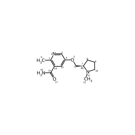 Cc1ncc(OC[C@H]2CCCN2C)cc1C(N)=O